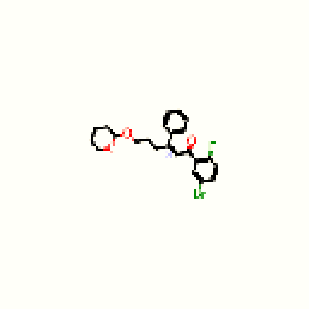 O=C(/C=C(/CCCOC1CCCCO1)c1ccccc1)c1cc(Br)ccc1F